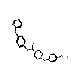 O=C(O)c1ccc(CN2CCN(C(=O)Oc3ccc(Cc4ccccn4)cc3)CC2)nc1